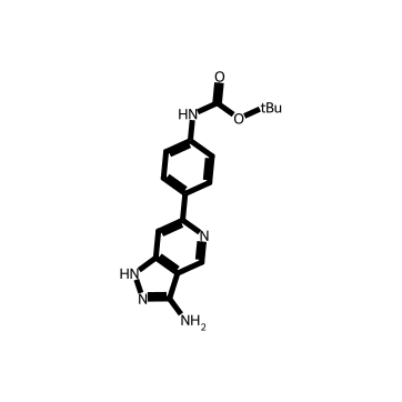 CC(C)(C)OC(=O)Nc1ccc(-c2cc3[nH]nc(N)c3cn2)cc1